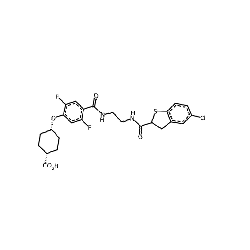 O=C(NCCNC(=O)C1Cc2cc(Cl)ccc2S1)c1cc(F)c(O[C@H]2CC[C@@H](C(=O)O)CC2)cc1F